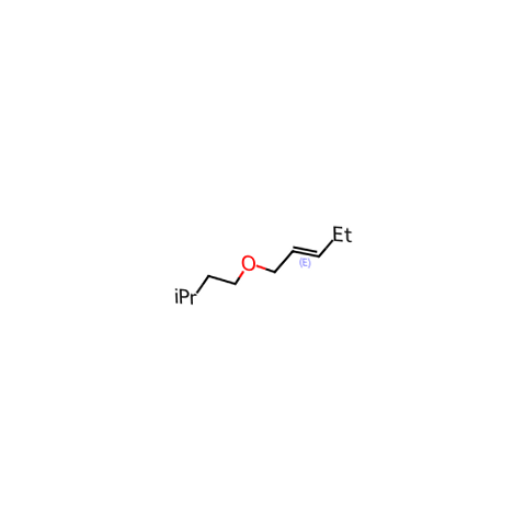 CC/C=C/COCCC(C)C